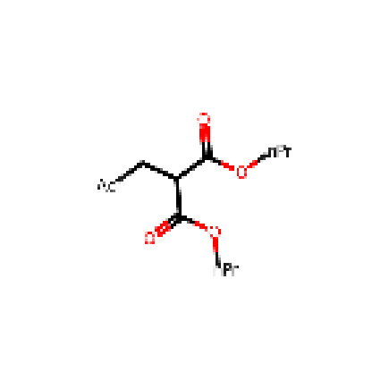 CCCOC(=O)C(CC(C)=O)C(=O)OCCC